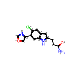 NC(=O)CCc1cc2cc(Cl)c(-c3cocn3)cc2[nH]1